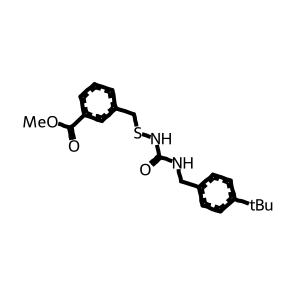 COC(=O)c1cccc(CSNC(=O)NCc2ccc(C(C)(C)C)cc2)c1